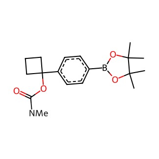 CNC(=O)OC1(c2ccc(B3OC(C)(C)C(C)(C)O3)cc2)CCC1